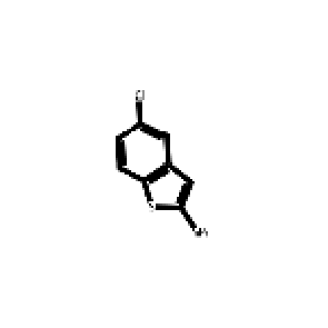 [CH2]CCc1cc2cc(Cl)ccc2s1